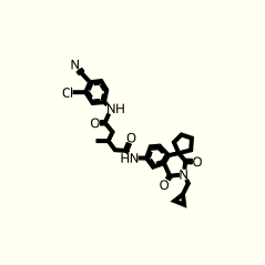 CC(CC(=O)Nc1ccc(C#N)c(Cl)c1)CC(=O)Nc1ccc2c(c1)C(=O)N(CC1CC1)C(=O)C21CCCC1